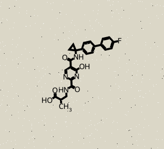 CC(CNC(=O)c1ncc(C(=O)NC2(c3ccc(-c4ccc(F)cc4)cc3)CC2)c(O)n1)C(=O)O